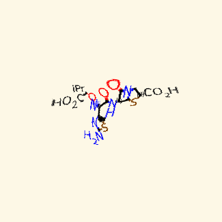 CC(C)C(O/N=C(\C(=O)N[C@@H]1C(=O)N2C[C@H](C(=O)O)SC12)c1csc(N)n1)C(=O)O